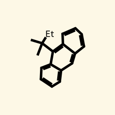 [CH2]CC(C)(C)c1c2ccccc2cc2ccccc12